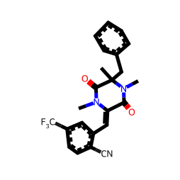 CN1C(=O)C(C)(Cc2ccccc2)N(C)C(=O)C1=Cc1cc(C(F)(F)F)ccc1C#N